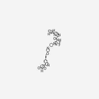 O=C1CCN(c2cncc3cc(C#CCOC4CCN(C[C@H]5CC[C@H](n6cc(NC(=O)c7cnn8ccc(N9C[C@H]%10C[C@@H]9CO%10)nc78)c(C(F)F)n6)CC5)CC4)ccc23)C(=O)N1